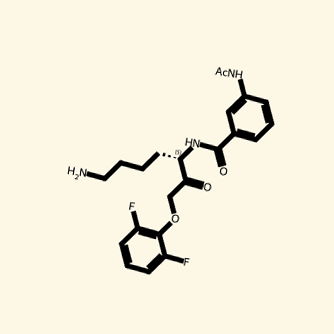 CC(=O)Nc1cccc(C(=O)N[C@@H](CCCCN)C(=O)COc2c(F)cccc2F)c1